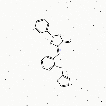 O=C1OC(c2ccccc2)=N/C1=C\c1ccccc1Sc1cccs1